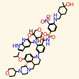 CC(C)Oc1ccccc1[C@H]1CN(C2CCOCC2)CCN1CC1CCN(c2ccc(C(=O)NS(=O)(=O)c3ccc(NCC4CCC(C)(O)CC4)c([N+](=O)[O-])c3)c(N3c4cc5cc[nH]c5nc4O[C@H]4COCC[C@@H]43)c2)CC1